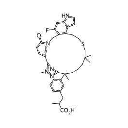 CC(Cc1cccc(C2(C)CCCC(C)(C)CSCCc3c(c(F)cc4[nH]ccc34)Cn3cc(ccc3=O)-c3nc2nn3C)c1)C(=O)O